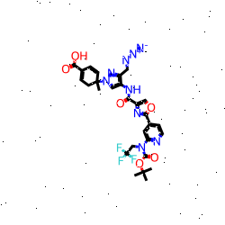 CC(C)(C)OC(=O)N(CC(F)(F)F)c1cc(-c2nc(C(=O)Nc3cn(C4(C)C=CC(C(=O)O)=CC4)nc3CN=[N+]=[N-])co2)ccn1